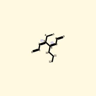 C=C/C=C(CC)\C(=C/C=C)CCC